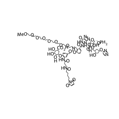 COCCOCCOCCOCCOCCOCCOCCOCCN(Cc1ccccc1C(=O)Nc1nc2c(ncn2[C@@H]2O[C@H](COP)[C@@H](O)[C@H]2O[PH](=O)OC[C@H]2C[C@@H](Oc3ccncn3)C[C@@H]2O)c(=O)[nH]1)C(=O)OCc1ccc(O[C@@H]2C[C@H](C(=O)O)[C@@H](O)[C@H](O)[C@H]2O)c(NC(=O)CCNC(=O)CCCCCN2C(=O)C=CC2=O)c1